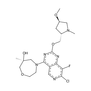 CO[C@@H]1C[C@@H](COc2nc(N3CCOC[C@@](C)(O)C3)c3cnc(Cl)c(F)c3n2)N(C)C1